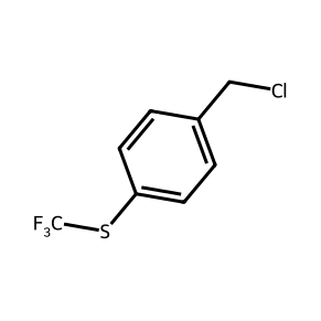 FC(F)(F)Sc1ccc(CCl)cc1